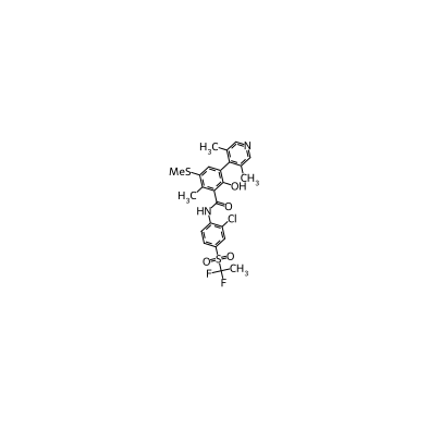 CSc1cc(-c2c(C)cncc2C)c(O)c(C(=O)Nc2ccc(S(=O)(=O)C(C)(F)F)cc2Cl)c1C